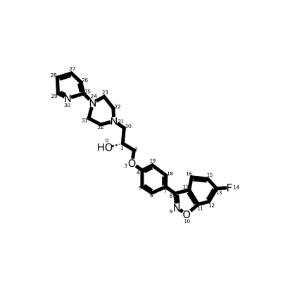 O[C@@H](COc1ccc(-c2noc3cc(F)ccc23)cc1)CN1CCN(c2ccccn2)CC1